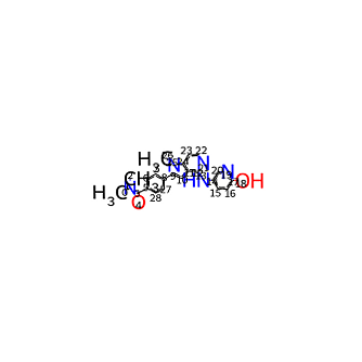 CN(C)C(=O)c1ccc(-c2cc3c(Nc4ccc(O)nc4)nccc3n2C)cc1